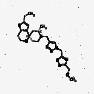 CCc1cc2c(s1)CCO[C@@]21CCN(Cc2cn(Cc3nc(COC)no3)nn2)[C@@H](C)C1